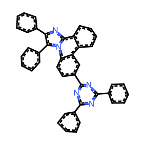 c1ccc(-c2nc(-c3ccccc3)nc(-c3ccc4c(c3)c3ccccc3c3nc(-c5ccccc5)c(-c5ccccc5)n43)n2)cc1